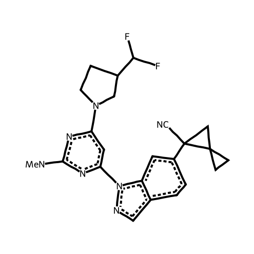 CNc1nc(N2CCC(C(F)F)C2)cc(-n2ncc3ccc(C4(C#N)CC45CC5)cc32)n1